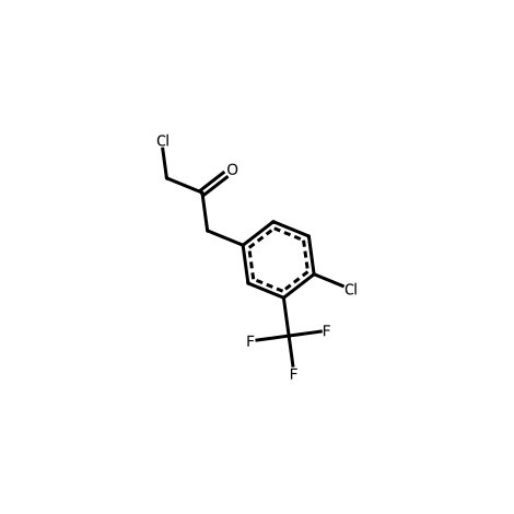 O=C(CCl)Cc1ccc(Cl)c(C(F)(F)F)c1